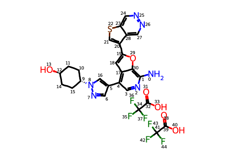 Nc1ncc(-c2cnn([C@H]3CC[C@H](O)CC3)c2)c2cc(-c3csc4cnncc34)oc12.O=C(O)C(F)(F)F.O=C(O)C(F)(F)F